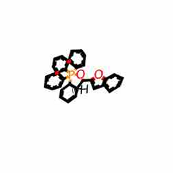 C1=CC2[C@H](C=C1)C(c1cc3ccccc3o1)OP2(c1ccccc1)(c1ccccc1)c1ccccc1